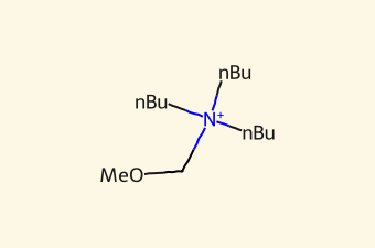 CCCC[N+](CCCC)(CCCC)COC